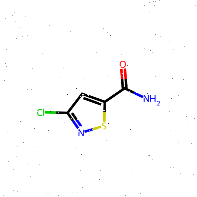 NC(=O)c1cc(Cl)ns1